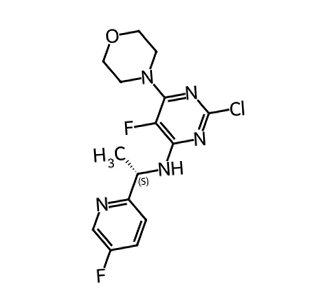 C[C@H](Nc1nc(Cl)nc(N2CCOCC2)c1F)c1ccc(F)cn1